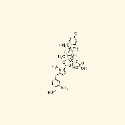 Cn1c(Cc2ccc(CO)c(N)c2)ccc1[C@@H]1O[C@@H]2C[C@H]3[C@@H]4CCC5=CC(=O)C=C[C@]5(C)[C@@]4(F)[C@@H](O)C[C@]3(C)[C@]2(C(=O)COP(=O)(O)O)O1